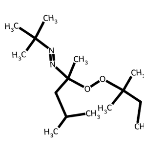 CCC(C)(C)OOC(C)(CC(C)C)/N=N/C(C)(C)C